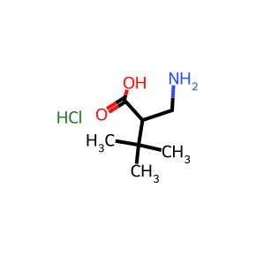 CC(C)(C)C(CN)C(=O)O.Cl